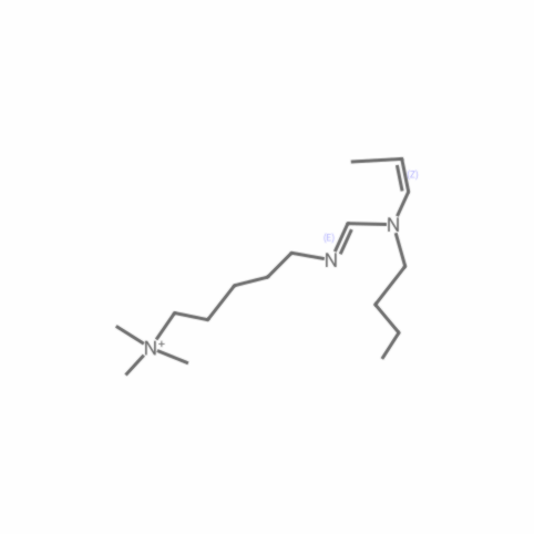 C/C=C\N(/C=N/CCCCC[N+](C)(C)C)CCCC